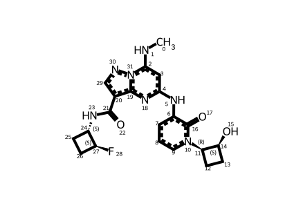 CNc1cc(Nc2cccn([C@@H]3CC[C@@H]3O)c2=O)nc2c(C(=O)N[C@H]3CC[C@@H]3F)cnn12